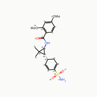 COc1ccc(C(=O)N[C@H]2[C@H](C3C=CC(S(N)(=O)=O)=CC3)C2(C)C)c(OC)c1